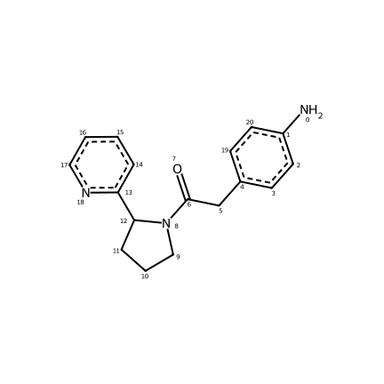 Nc1ccc(CC(=O)N2CCCC2c2ccccn2)cc1